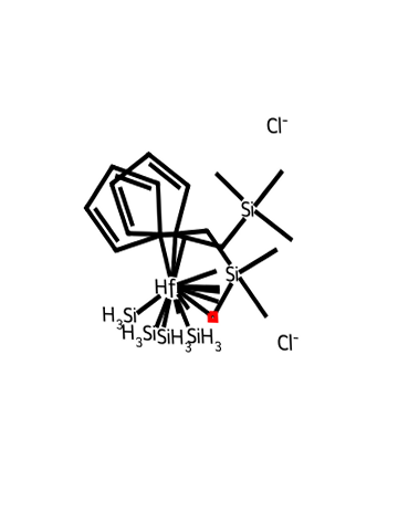 C[Si](C)(C)C[C]1([Hf]([CH3])([CH3])([CH3])([CH3])([CH3])([CH3])([CH3])([CH3])([SiH3])([SiH3])([SiH3])([SiH3])[C]2(C[Si](C)(C)C)C=CC=C2)C=CC=C1.[Cl-].[Cl-]